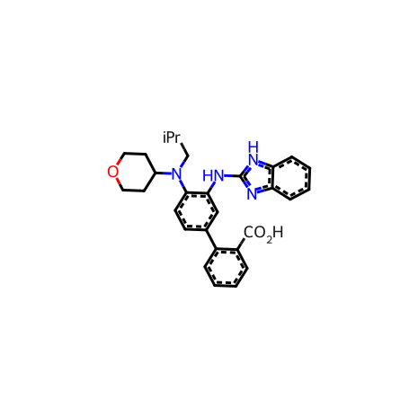 CC(C)CN(c1ccc(-c2ccccc2C(=O)O)cc1Nc1nc2ccccc2[nH]1)C1CCOCC1